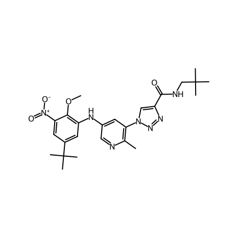 COc1c(Nc2cnc(C)c(-n3cc(C(=O)NCC(C)(C)C)nn3)c2)cc(C(C)(C)C)cc1[N+](=O)[O-]